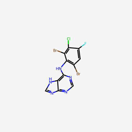 Fc1cc(Br)c(Nc2ncnc3nc[nH]c23)c(Br)c1Cl